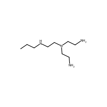 CCCNCCN(CCN)CCN